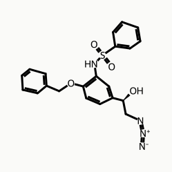 [N-]=[N+]=NC[C@H](O)c1ccc(OCc2ccccc2)c(NS(=O)(=O)c2ccccc2)c1